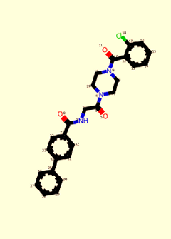 O=C(NCC(=O)N1CCN(C(=O)c2ccccc2Cl)CC1)c1ccc(-c2ccccc2)cc1